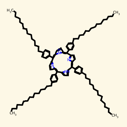 CCCCCCCCCCCCCCCc1ccc(-c2c3nc(c(-c4ccc(CCCCCCCCCCCCCCC)cc4)c4ccc([nH]4)c(-c4ccc(CCCCCCCCCCCCCCC)cc4)c4nc(c(-c5ccc(CCCCCCCCCCCCCCC)cc5)c5ccc2[nH]5)C=C4)C=C3)cc1